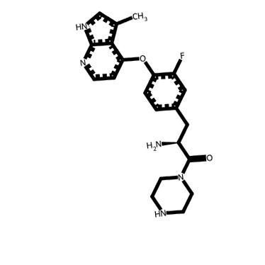 Cc1c[nH]c2nccc(Oc3ccc(C[C@H](N)C(=O)N4CCNCC4)cc3F)c12